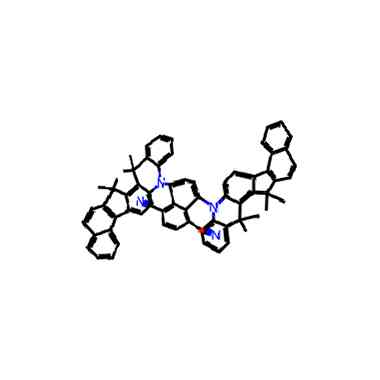 CC1(C)c2ccc3ccccc3c2-c2ccc3c(c21)C(C)(C)c1ccccc1N3c1ccc(N2c3ccccc3C(C)(C)c3c2ccc2c3C(C)(C)c3ccc4ccccc4c3-2)c2c(C#N)ccc(C#N)c12